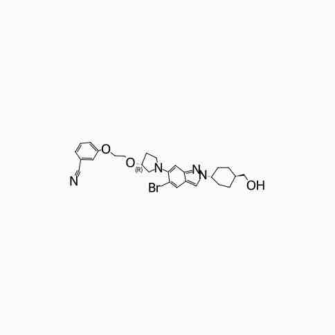 N#Cc1cccc(OCCO[C@@H]2CCN(c3cc4nn([C@H]5CC[C@H](CO)CC5)cc4cc3Br)C2)c1